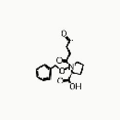 O=[C]CCC(=O)[N+]1(OCc2ccccc2)CCC[C@H]1C(=O)O